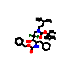 CC(C)CCN(CC(F)(F)C(O)C(CC1CCCCC1)NC(=O)OCc1ccccc1)C(=O)OC(C)(C)C